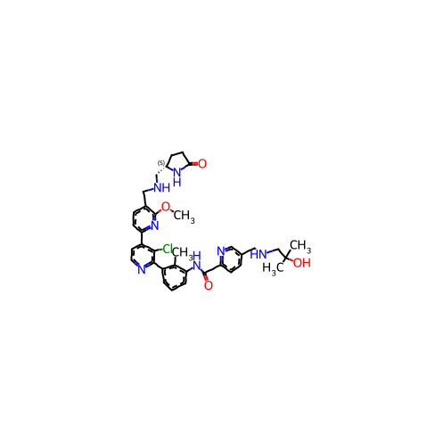 COc1nc(-c2ccnc(-c3cccc(NC(=O)c4ccc(CNCC(C)(C)O)cn4)c3C)c2Cl)ccc1CNC[C@@H]1CCC(=O)N1